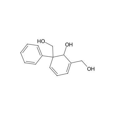 OCC1=CC=CC(CO)(c2ccccc2)C1O